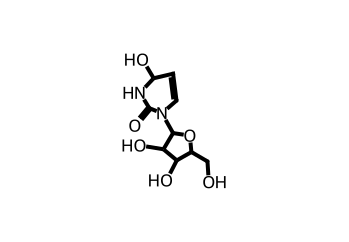 O=C1NC(O)C=CN1C1OC(CO)C(O)C1O